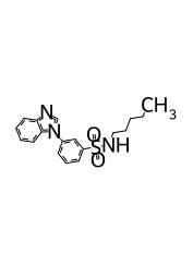 CCCCCNS(=O)(=O)c1cccc(-n2cnc3ccccc32)c1